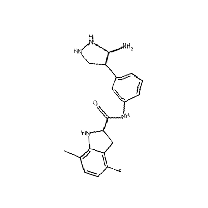 Cc1ccc(F)c2c1NC(C(=O)Nc1cccc(C3CNNC3N)c1)C2